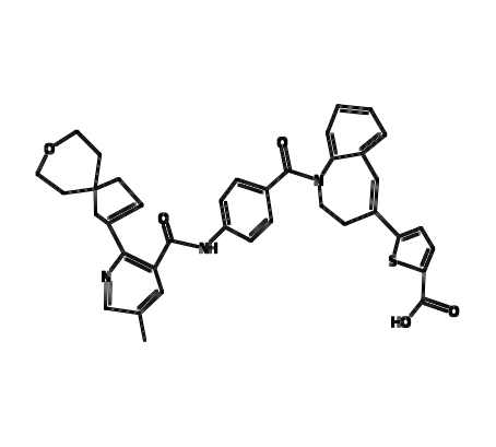 Cc1cnc(C2=CCC3(CCOCC3)C2)c(C(=O)Nc2ccc(C(=O)N3CCC(c4ccc(C(=O)O)s4)=Cc4ccccc43)cc2)c1